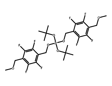 COCc1c(F)c(F)c(C[O][Zr]([O]Cc2c(F)c(F)c(COC)c(F)c2F)([O]C(C)(C)C)[O]C(C)(C)C)c(F)c1F